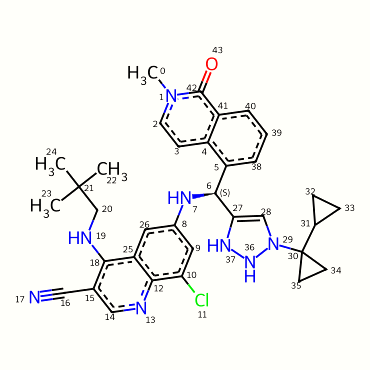 Cn1ccc2c([C@H](Nc3cc(Cl)c4ncc(C#N)c(NCC(C)(C)C)c4c3)C3=CN(C4(C5CC5)CC4)NN3)cccc2c1=O